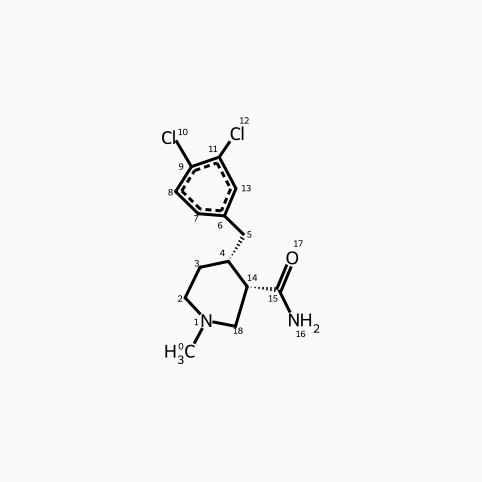 CN1CC[C@H](Cc2ccc(Cl)c(Cl)c2)[C@H](C(N)=O)C1